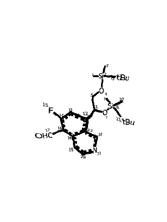 CC(C)(C)[Si](C)(C)OCC(O[Si](C)(C)C(C)(C)C)c1cc(F)c(C=O)c2ccncc12